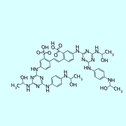 CC(O)Nc1ccc(Nc2nc(Nc3ccc(C=Cc4ccc(Nc5nc(Nc6ccc(NC(C)O)cc6)nc(NC(C)O)n5)cc4S(=O)(=O)O)c(S(=O)(=O)O)c3)nc(NC(C)O)n2)cc1